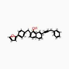 Oc1c(Cc2ccc(-c3ccco3)cc2)ccc2ccc(C#CCc3ccccc3)cc12